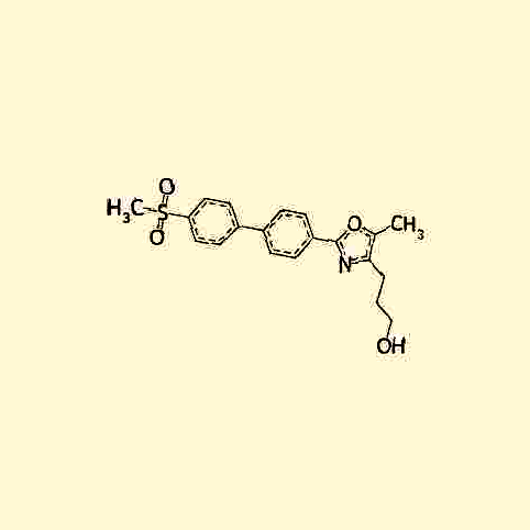 Cc1oc(-c2ccc(-c3ccc(S(C)(=O)=O)cc3)cc2)nc1CCCO